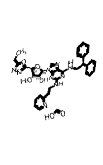 CCc1nnc([C@H]2O[C@@H](n3cnc4c(NCC(c5ccccc5)c5ccccc5)nc(NCCc5ccccn5)nc43)[C@H](O)[C@@H]2O)o1.O=CO